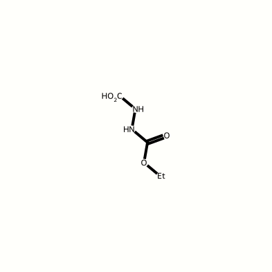 CCOC(=O)NNC(=O)O